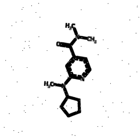 CN(C)C(=O)c1ccnc(N(C)C2CCCC2)c1